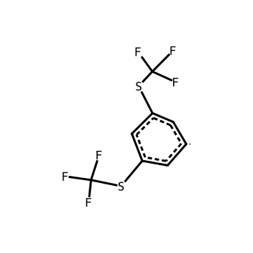 FC(F)(F)Sc1c[c]cc(SC(F)(F)F)c1